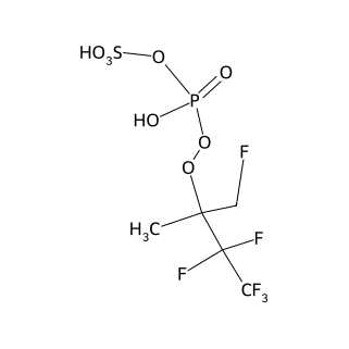 CC(CF)(OOP(=O)(O)OS(=O)(=O)O)C(F)(F)C(F)(F)F